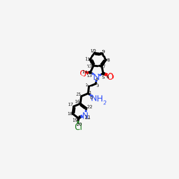 NC(CCN1C(=O)c2ccccc2C1=O)Cc1ccc(Cl)nc1